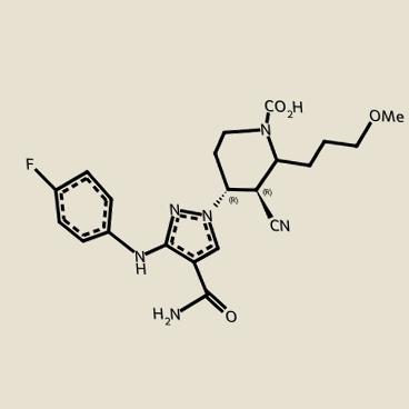 COCCCC1[C@@H](C#N)[C@H](n2cc(C(N)=O)c(Nc3ccc(F)cc3)n2)CCN1C(=O)O